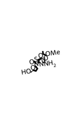 COC(=O)C(C)Oc1nc(N)nc2c1sc(=O)n2[C@H]1CC[C@@H](CO)O1